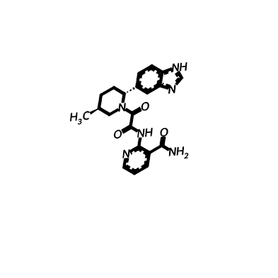 C[C@H]1CC[C@H](c2ccc3[nH]cnc3c2)N(C(=O)C(=O)Nc2ncccc2C(N)=O)C1